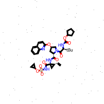 C=C[C@@H]1C[C@]1(NC(=O)[C@@H]1C[C@@H](Oc2ccc3ccccc3n2)CN1C(=O)[C@@H](NC(=O)OC1CCCC1)C(C)(C)C)C(=O)NS(=O)(=O)OC1CC1